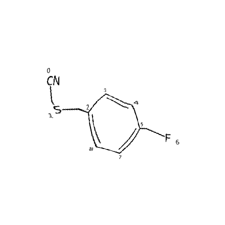 N#CSc1ccc(F)cc1